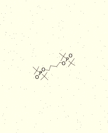 CC(C)(C)P(=O)(OCCCCOP(=O)(C(C)(C)C)C(C)(C)C)C(C)(C)C